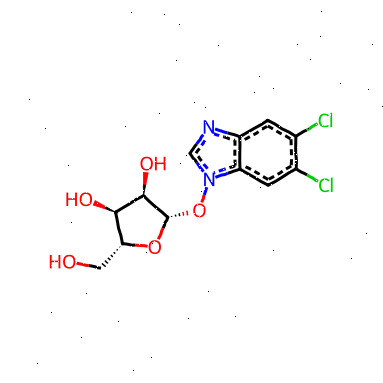 OC[C@H]1O[C@@H](On2cnc3cc(Cl)c(Cl)cc32)[C@H](O)[C@@H]1O